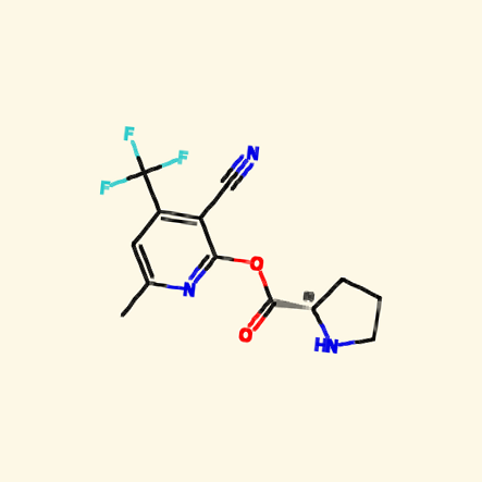 Cc1cc(C(F)(F)F)c(C#N)c(OC(=O)[C@@H]2CCCN2)n1